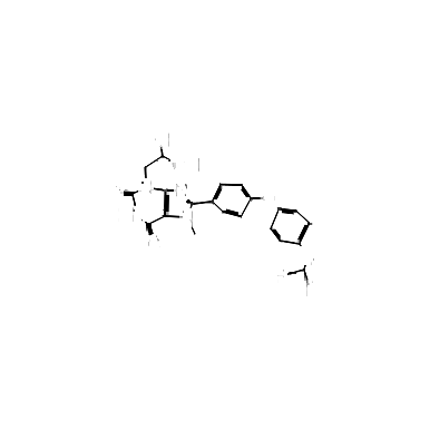 Cn1c(-c2ccc(Oc3ccc(OC(F)F)cc3)cc2)nc2c1c(=O)[nH]c(=O)n2CC(O)C(F)(F)F